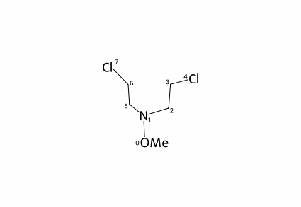 CON(CCCl)CCCl